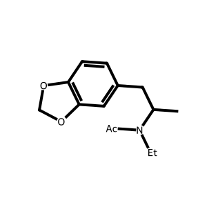 CCN(C(C)=O)C(C)Cc1ccc2c(c1)OCO2